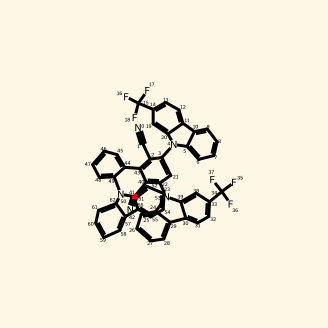 N#Cc1c(-n2c3ccccc3c3ccc(C(F)(F)F)cc32)cc(-n2c3ccccc3c3ccc(C(F)(F)F)cc32)c(C#N)c1-c1ccccc1-n1c2ccccc2c2ccccc21